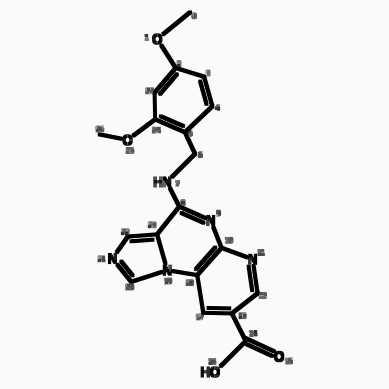 COc1ccc(CNc2nc3ncc(C(=O)O)cc3n3cncc23)c(OC)c1